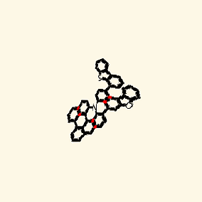 c1ccc(-c2cccc3cccc(-c4ccccc4N(c4ccc(-c5cccc6c5sc5ccccc56)cc4)c4ccccc4-c4ccc5c(c4)oc4ccccc45)c23)cc1